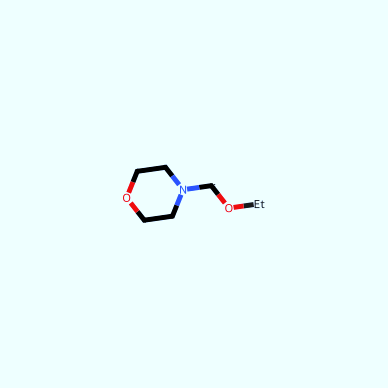 CCO[C]N1CCOCC1